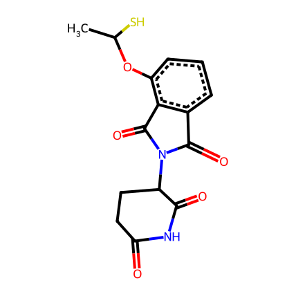 CC(S)Oc1cccc2c1C(=O)N(C1CCC(=O)NC1=O)C2=O